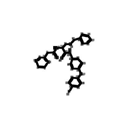 O=C(Cc1cnccn1)NC(COCc1ccccc1)C(=O)Nc1ccc(Oc2ccc(F)cc2)cc1